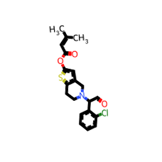 CC(C)=CC(=O)Oc1cc2c(s1)CCN(C(C=O)c1ccccc1Cl)C2